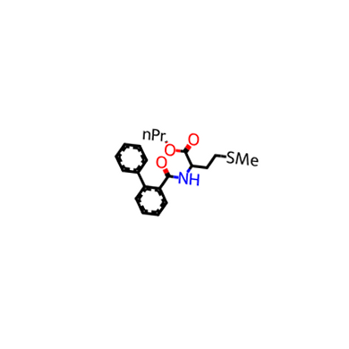 CCCOC(=O)C(CCSC)NC(=O)c1ccccc1-c1ccccc1